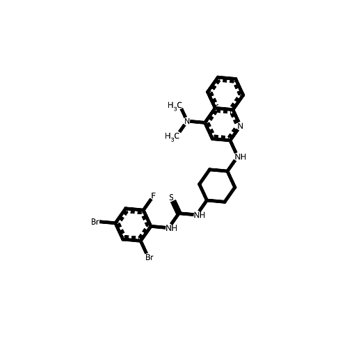 CN(C)c1cc(NC2CCC(NC(=S)Nc3c(F)cc(Br)cc3Br)CC2)nc2ccccc12